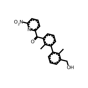 Cc1c(CO)cccc1-c1cccc(C(=O)c2cccc([N+](=O)[O-])n2)c1C